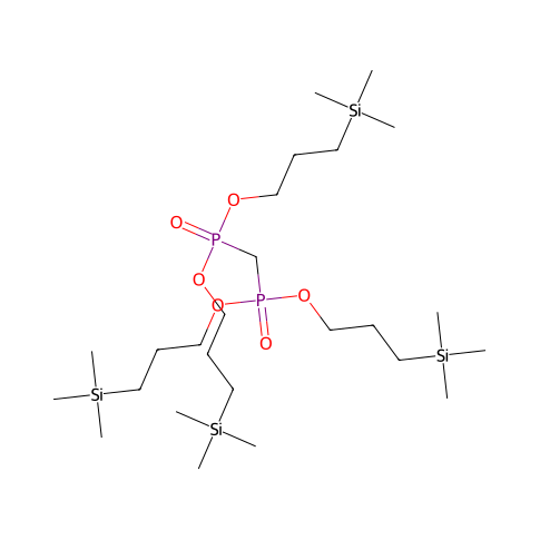 C[Si](C)(C)CCCOP(=O)(CP(=O)(OCCC[Si](C)(C)C)OCCC[Si](C)(C)C)OCCC[Si](C)(C)C